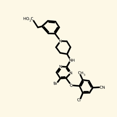 Cc1cc(C#N)cc(Cl)c1Oc1nc(NC2CCN(c3cccc(CC(=O)O)c3)CC2)ncc1Br